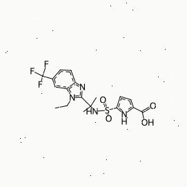 CCn1c(C(C)(C)NS(=O)(=O)c2ccc(C(=O)O)[nH]2)nc2ccc(C(F)(F)F)cc21